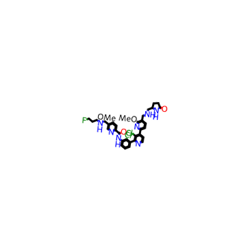 COc1cc(C(=O)Nc2cccc(-c3nccc(-c4ccc(CNCC5CCC(=O)N5)c(OC)n4)c3Cl)c2Cl)ncc1CNCCCF